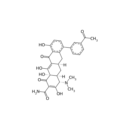 CC(=O)c1cccc(-c2ccc(O)c3c2C[C@H]2C[C@H]4[C@H](N(C)C)C(O)=C(C(N)=O)C(=O)[C@@]4(O)C(O)=C2C3=O)c1